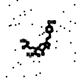 CCCCOC(=O)CCC(C(N)=O)N1Cc2c(C=Cc3ccc(C=O)cc3)csc2C1=O